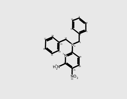 Nc1nc(N(Cc2ccccc2)Cc2ccccc2)ccc1[N+](=O)[O-]